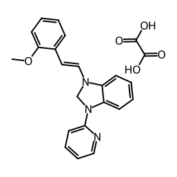 COc1ccccc1/C=C/N1CN(c2ccccn2)c2ccccc21.O=C(O)C(=O)O